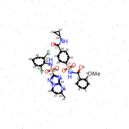 COc1ccccc1C(=O)NS(=O)(=O)c1ccc(C(=O)NC2CC2)cc1.Cc1ccn2nc(S(=O)(=O)Nc3c(F)cccc3F)nc2n1